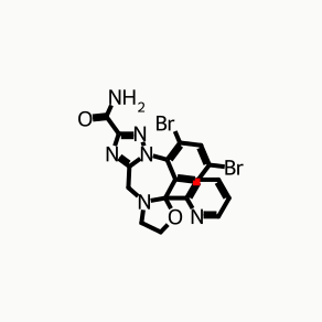 NC(=O)c1nc2n(n1)-c1c(Br)cc(Br)cc1C1(c3ccccn3)OCCN1C2